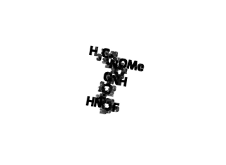 COc1ccc(NC(=O)C2CCC(c3c[nH]c4ccc(F)cc34)CC2)cc1N1CCC(C)CC1